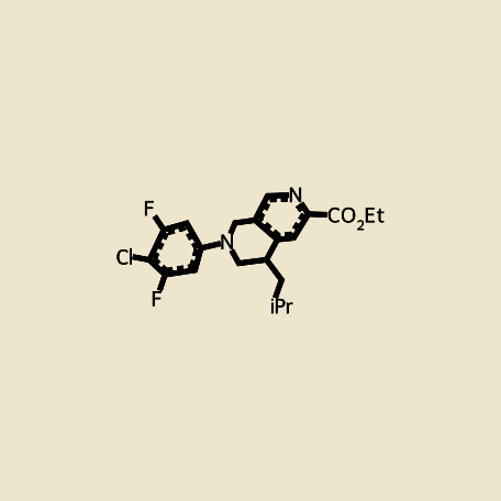 CCOC(=O)c1cc2c(cn1)CN(c1cc(F)c(Cl)c(F)c1)CC2CC(C)C